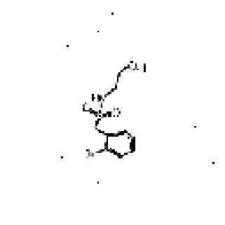 O=S(=O)(Cc1ccccc1Br)NCCO